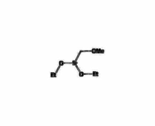 CCO[Si](COC)OCC